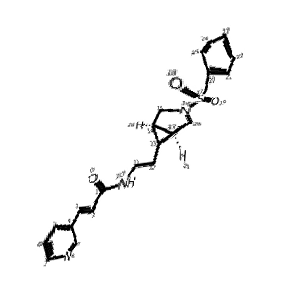 O=C(/C=C/c1cccnc1)NCCC1[C@H]2CN(S(=O)(=O)c3ccccc3)C[C@@H]12